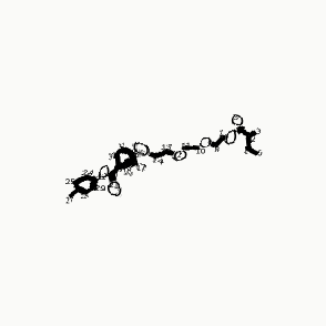 CCC(C)C(=O)OCCOCCOCCOc1ccc(C(=O)Oc2ccc(C)cc2)cc1